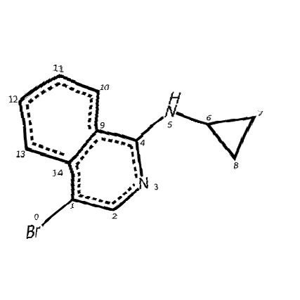 Brc1cnc(NC2CC2)c2ccccc12